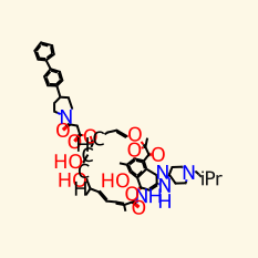 C/C1=C/C=C/C(C)[C@H](O)CC(O)C[C@H](OC(=O)CC(=O)N2CCC(c3ccc(-c4ccccc4)cc3)CC2)CC/C=C/OC2(C)Oc3c(C)c(O)c4c(c3C2=O)C2=NC3(CCN(CC(C)C)CC3)NC2=C(NC1=O)C4=O